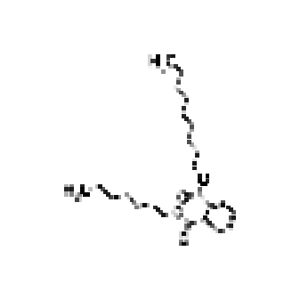 CCCCCCCCCOC(=O)c1ccccc1C(=O)OCCCCCCC